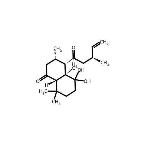 C=C[C@@H](C)CC(=O)[C@H]1[C@@H](C)CC(=O)[C@H]2C(C)(C)CCC(O)(O)[C@]12C